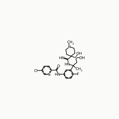 CN1CCC2(CC1)C(=N)NC(C)(c1cc(NC(=O)c3ccc(Cl)cn3)ccc1F)CS2(O)O